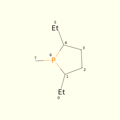 CCC1CCC(CC)P1C